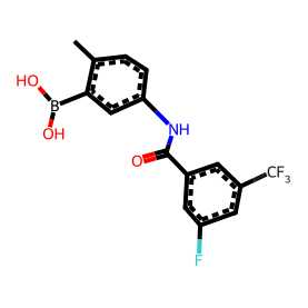 Cc1ccc(NC(=O)c2cc(F)cc(C(F)(F)F)c2)cc1B(O)O